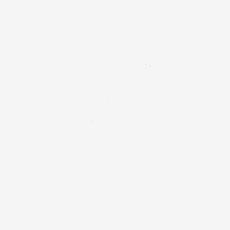 O=S(=O)(O)CCCCCOc1cccs1